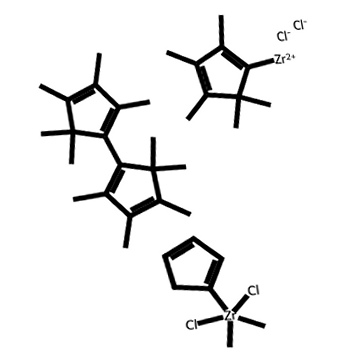 CC1=C(C)C(C)(C)C(C2=C(C)C(C)=C(C)C2(C)C)=C1C.CC1=C(C)C(C)(C)[C]([Zr+2])=C1C.[CH3][Zr]([CH3])([Cl])([Cl])[C]1=CC=CC1.[Cl-].[Cl-]